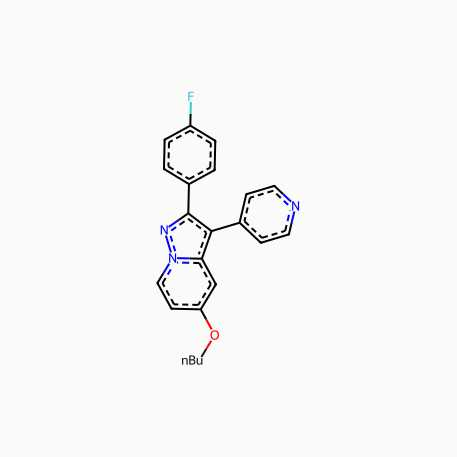 CCCCOc1ccn2nc(-c3ccc(F)cc3)c(-c3ccncc3)c2c1